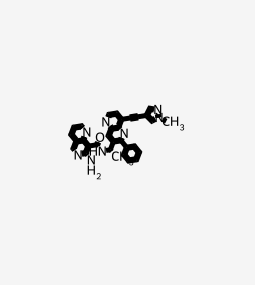 CC(NC(=O)c1c(N)ncc2cccnc12)c1cc2nccc(C#Cc3cnn(C)c3)c2nc1-c1ccccc1